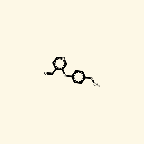 CSc1ccc(Sc2cnccc2C=O)cc1